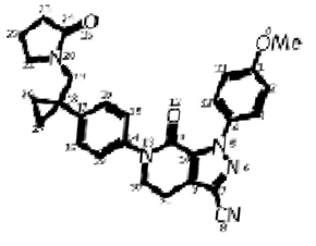 COc1ccc(-n2nc(C#N)c3c2C(=O)N(c2ccc(C4(CN5CCCC5=O)CC4)cc2)CC3)cc1